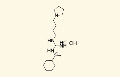 C[C@H](NC(=N)NCCCCN1CCCC1)C1CCCCC1.Cl.Cl